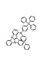 c1ccc(-c2ccc(N(c3ccc([Si](c4ccccc4)(c4ccccc4)c4ccccc4)cc3)c3cccc4c3c3c5ccccc5n5c6ccccc6n4c35)cc2)cc1